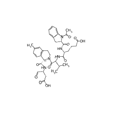 CC(=O)N1c2ccccc2CC1C(=O)NC(CCCC(=O)O)C(=O)NC(C(=O)N1CCc2cc(C)ccc2[C@H]1C(=O)NC(C=O)CC(=O)O)C(C)C